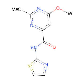 COc1nc(OC(C)C)cc(C(=O)Nc2nccs2)n1